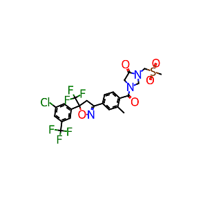 Cc1cc(C2=NOC(c3cc(Cl)cc(C(F)(F)F)c3)(C(F)(F)F)C2)ccc1C(=O)N1CC(=O)N(CS(C)(=O)=O)C1